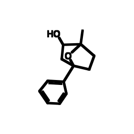 CC12CCC(c3ccccc3)(CC1O)O2